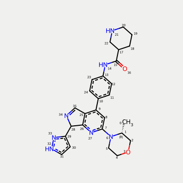 C[C@@H]1COCCN1c1cc(-c2ccc(NC(=O)C3CCCNC3)cc2)c2c(n1)C(c1cc[nH]n1)N=C2